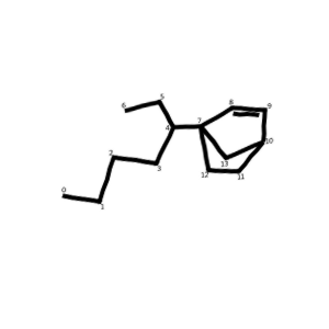 CCCCC(CC)C12C=CC(CC1)C2